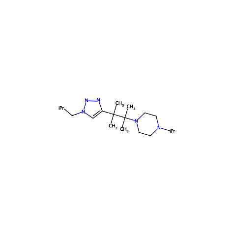 CC(C)Cn1cc(C(C)(C)C(C)(C)N2CCN(C(C)C)CC2)nn1